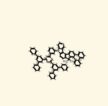 CC1(C)c2ccc3c(c2-c2ccc4c5ccccc5c5ccccc5c4c21)c1cnccc1n3-c1cccc(-c2nc(-c3cc(-c4ccccc4)cc(-c4ccccc4)c3)nc(-c3cc(-c4ccccc4)cc(-c4ccccc4)c3)n2)c1